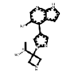 C[C@@H](C#N)C1(n2cc(-c3c(C#N)cnc4[nH]ccc34)cn2)CNC1